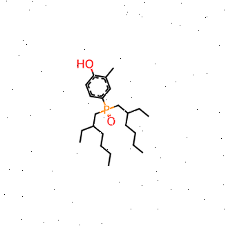 CCCCC(CC)CP(=O)(CC(CC)CCCC)c1ccc(O)c(C)c1